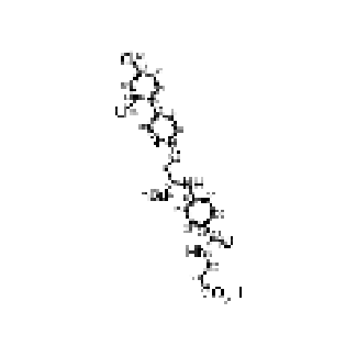 CCCC[C@@H](COc1ccc(-c2ccc(Cl)cc2Cl)cn1)Nc1ccc(C(=O)NCCC(=O)O)cc1